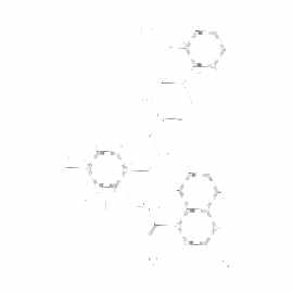 COc1c(C#N)cc2ccccc2c1C(=O)N(C)C[C@@H](CCN1CCC(c2ccccc2[S+](C)[O-])CC1)c1ccc(Cl)c(Cl)c1